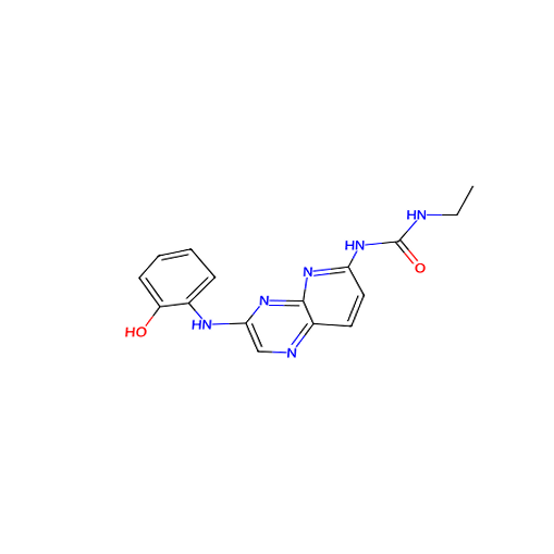 CCNC(=O)Nc1ccc2ncc(Nc3ccccc3O)nc2n1